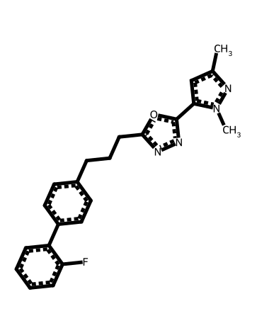 Cc1cc(-c2nnc(CCCc3ccc(-c4ccccc4F)cc3)o2)n(C)n1